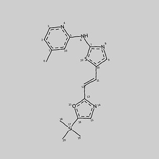 Cc1ccnc(Nc2ncc(C=Cc3ncc([Si](C)(C)C)o3)s2)c1